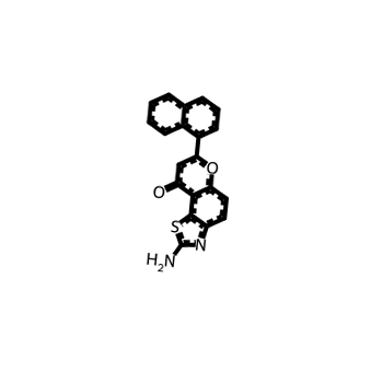 Nc1nc2ccc3oc(-c4cccc5ccccc45)cc(=O)c3c2s1